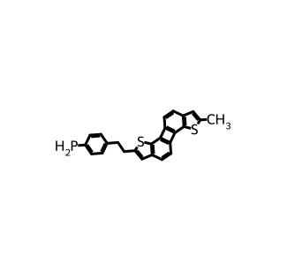 Cc1cc2ccc3c(c2s1)-c1ccc2cc(CCc4ccc(P)cc4)sc2c1-3